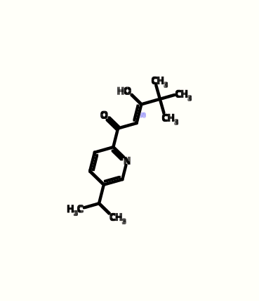 CC(C)c1ccc(C(=O)/C=C(\O)C(C)(C)C)nc1